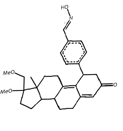 COCC1(OC)CCC2C3CCC4=CC(=O)CC(c5ccc(/C=N/O)cc5)C4=C3CCC21C